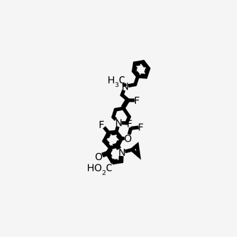 CN(CC(F)=C1CCN(c2c(F)cc3c(=O)c(C(=O)O)cn(C4CC4)c3c2OC(F)F)CC1)Cc1ccccc1